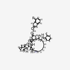 Cc1ccccc1N[C@H]1CCCCC/C=C\[C@H]2C[C@@]2(C(=O)NS(=O)(=O)C2(C)CC2)NC(=O)[C@@H]2C[C@@H](OCON3Cc4cccc(F)c4C3)CN2C1=O